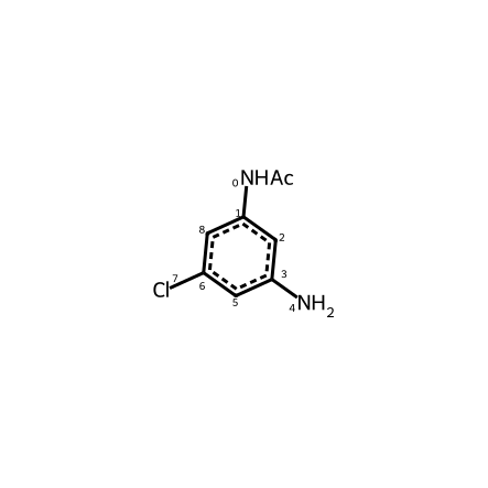 CC(=O)Nc1cc(N)cc(Cl)c1